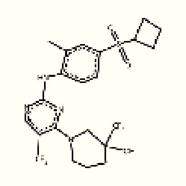 Cc1cc(S(=O)(=O)C2CCC2)ccc1Nc1ncc(C(F)(F)F)c(N2CCCC(O)(C(F)(F)F)C2)n1